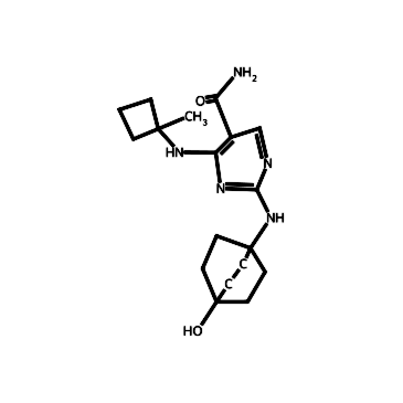 CC1(Nc2nc(NC34CCC(O)(CC3)CC4)ncc2C(N)=O)CCC1